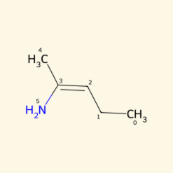 CCC=C(C)N